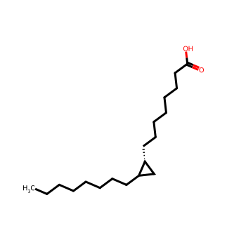 CCCCCCCCC1C[C@H]1CCCCCCCC(=O)O